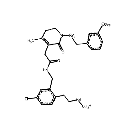 COc1cccc(CNN2CCC(C)=C(CC(=O)NCc3cc(Cl)ccc3CCNC(=O)O)C2=O)c1